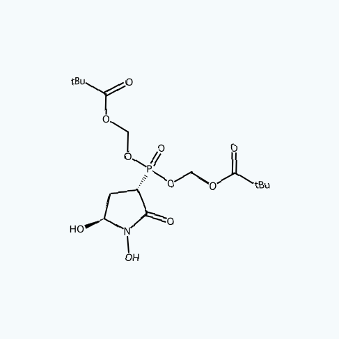 CC(C)(C)C(=O)OCOP(=O)(OCOC(=O)C(C)(C)C)[C@H]1C[C@H](O)N(O)C1=O